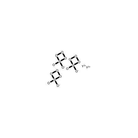 [O-][Si]1([O-])OOO1.[O-][Si]1([O-])OOO1.[O-][Si]1([O-])OOO1.[Y+3].[Y+3]